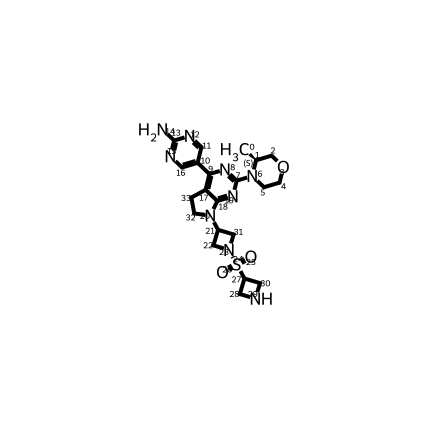 C[C@H]1COCCN1c1nc(-c2cnc(N)nc2)c2c(n1)N(C1CN(S(=O)(=O)C3CNC3)C1)CC2